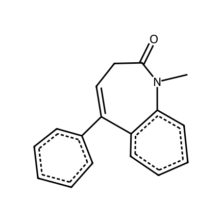 CN1C(=O)CC=C(c2ccccc2)c2ccccc21